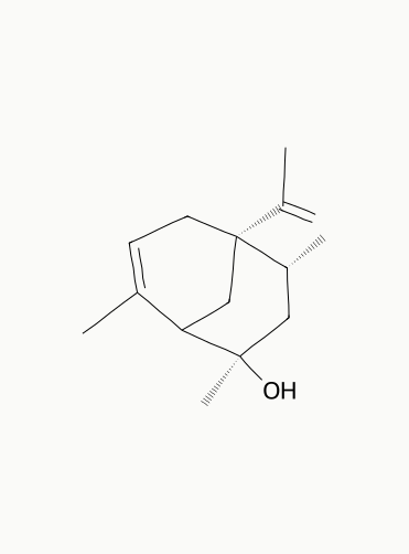 C=C(C)[C@@]12CC=C(C)C(C1)[C@](C)(O)C[C@H]2C